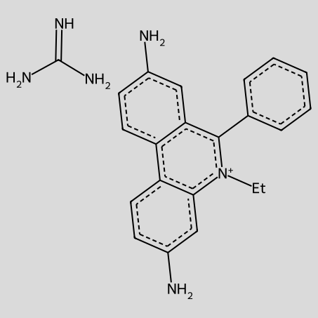 CC[n+]1c(-c2ccccc2)c2cc(N)ccc2c2ccc(N)cc21.N=C(N)N